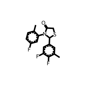 Cc1ccc(F)cc1N1C(=O)CSC1c1cc(C)c(F)c(F)c1